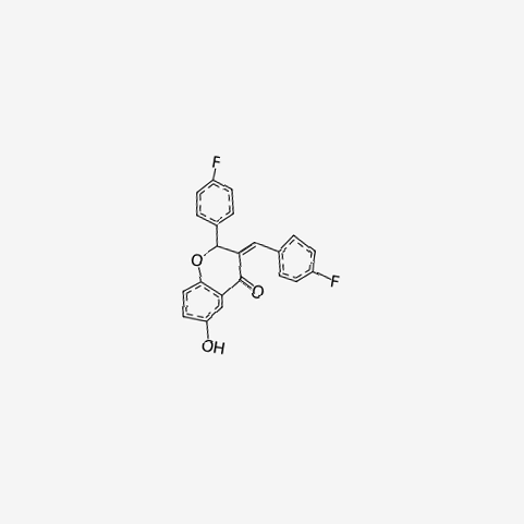 O=C1C(=Cc2ccc(F)cc2)C(c2ccc(F)cc2)Oc2ccc(O)cc21